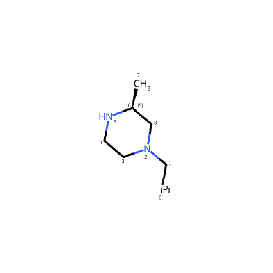 C[C](C)CN1CCN[C@@H](C)C1